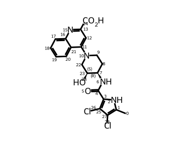 Cc1[nH]c(C(=O)N[C@@H]2CCN(c3cc(C(=O)O)nc4ccccc34)C[C@@H]2O)c(Cl)c1Cl